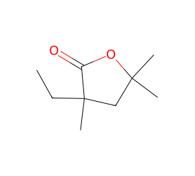 CCC1(C)CC(C)(C)OC1=O